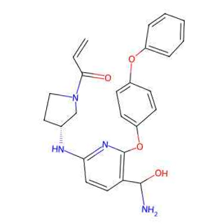 C=CC(=O)N1CC[C@@H](Nc2ccc(C(N)O)c(Oc3ccc(Oc4ccccc4)cc3)n2)C1